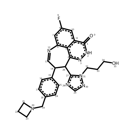 O=c1[nH]nc2c3c(cc(F)cc13)N=CC(c1ccc(CN3CCC3)cc1)C2c1ncnn1CCCO